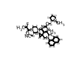 C=C(F)C(=O)N1CCN(c2nc(OC[C@@H]3CCCN3C)nc3c2C2(CC2)CN(c2cccc4cccc(C)c24)C3)C[C@@H]1CC#N